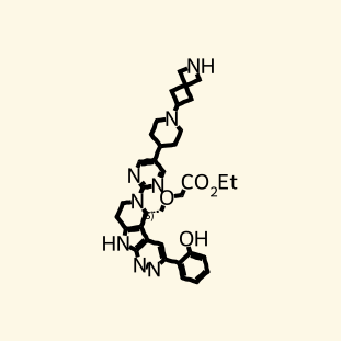 CCOC(=O)COC[C@@H]1c2c([nH]c3nnc(-c4ccccc4O)cc23)CCN1c1ncc(C2CCN(C3CC4(CNC4)C3)CC2)cn1